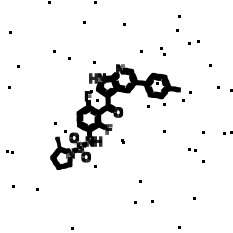 Cc1ccc(-c2cnc3[nH]cc(C(=O)c4c(F)ccc(NS(=O)(=O)N5CCC[C@H]5C)c4F)c3c2)cc1